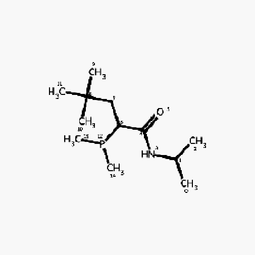 CC(C)NC(=O)C(CC(C)(C)C)P(C)C